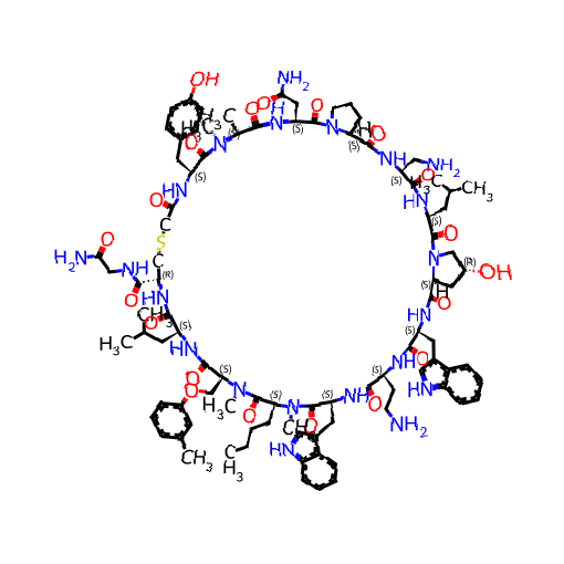 CCCC[C@H]1C(=O)N(C)[C@@H](COc2cccc(C)c2)C(=O)N[C@@H](CC(C)C)C(=O)N[C@H](C(=O)NCC(N)=O)CSCC(=O)N[C@@H](Cc2ccc(O)cc2)C(=O)N(C)[C@@H](C)C(=O)N[C@@H](CC(N)=O)C(=O)N2CCC[C@H]2C(=O)N[C@@H](CN)C(=O)N[C@@H](CC(C)C)C(=O)N2C[C@H](O)C[C@H]2C(=O)N[C@@H](Cc2c[nH]c3ccccc23)C(=O)N[C@@H](CCN)C(=O)N[C@@H](Cc2c[nH]c3ccccc23)C(=O)N1C